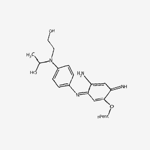 CCCCCOC1=CC(=Nc2ccc(N(CCO)C(C)O)cc2)C(N)=CC1=N